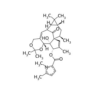 CC1=C[C@]23C(=O)[C@@H](C=C4COC(C)(C)O[C@H]4[C@]2(O)[C@H]1OC(=O)c1ccc(C)n1C)[C@H]1[C@@H](C[C@H]3C)C1(C)C